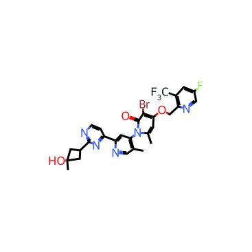 Cc1cnc(-c2ccnc(C3CC(C)(O)C3)n2)cc1-n1c(C)cc(OCc2ncc(F)cc2C(F)(F)F)c(Br)c1=O